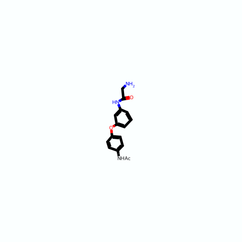 CC(=O)Nc1ccc(Oc2cccc(NC(=O)CN)c2)cc1